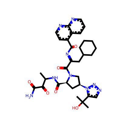 CC(NC(=O)[C@@H]1C[C@H](n2nncc2C(C)(C)O)CN1C(=O)/C(CC1CCCCC1)=N/C(=O)c1ccnc2ncccc12)C(=O)C(N)=O